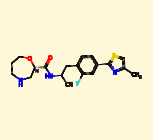 Cc1csc(-c2ccc(CC(C#N)NC(=O)[C@@H]3CNCCCO3)c(F)c2)n1